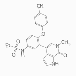 CCS(=O)(=O)Nc1ccc(Oc2ccc(C#N)cc2)c(-c2cn(C)c(=O)c3[nH]ccc23)c1